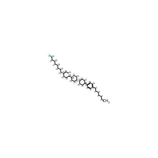 CCCCCCCc1ccc(C2CCC([C@H]3CC[C@H]([C@H]4CC[C@H](CCCCCCCCF)CC4)CC3)CC2)cc1